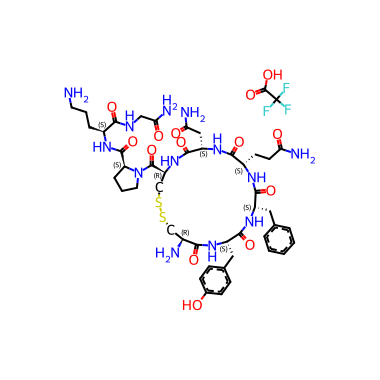 NCCC[C@H](NC(=O)[C@@H]1CCCN1C(=O)[C@@H]1CSSC[C@H](N)C(=O)N[C@@H](Cc2ccc(O)cc2)C(=O)N[C@@H](Cc2ccccc2)C(=O)N[C@@H](CCC(N)=O)C(=O)N[C@@H](CC(N)=O)C(=O)N1)C(=O)NCC(N)=O.O=C(O)C(F)(F)F